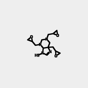 SN1C=NC2(CC3CO3)CN(CC3CO3)CN(CC3CO3)C12